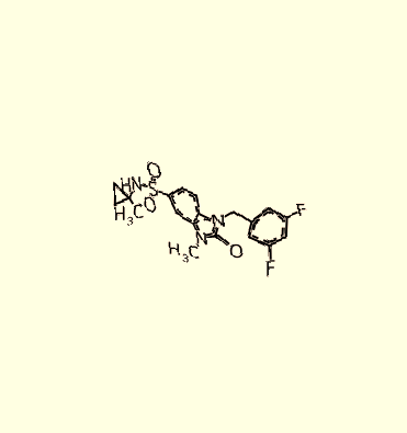 Cn1c(=O)n(Cc2cc(F)cc(F)c2)c2ccc(S(=O)(=O)NC3(C)CC3)cc21